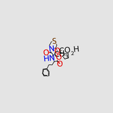 C[C@H](NC(CCc1ccccc1)C(=O)OC1CCCC1)C(=O)N1CCSCC1OC(=O)O